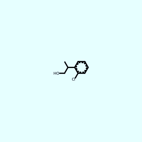 CC(CO)c1c[c]ccc1Cl